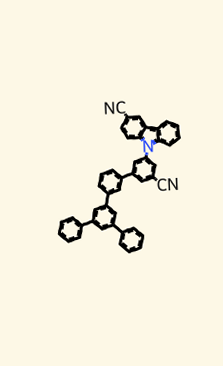 N#Cc1cc(-c2cccc(-c3cc(-c4ccccc4)cc(-c4ccccc4)c3)c2)cc(-n2c3ccccc3c3cc(C#N)ccc32)c1